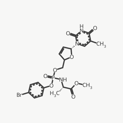 COC(=O)[C@H](C)NP(=O)(OCC1C=C[C@H](n2cc(C)c(=O)[nH]c2=O)O1)Oc1ccc(Br)cc1